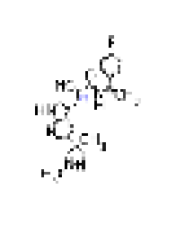 C[C@@H](NC(=O)/C(C#N)=C/c1c[nH]c2ncc(C3(C)C=NN(C)C3)cc12)c1ccc(F)cc1